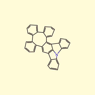 c1ccc2c(c1)-c1ccccc1-c1cc3c4ccccc4n4c5ccccc5c(c1-c1ccccc1-2)c34